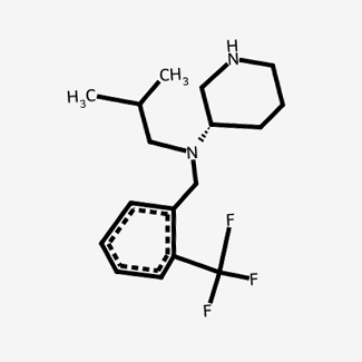 CC(C)CN(Cc1ccccc1C(F)(F)F)[C@H]1CCCNC1